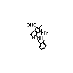 CCCn1c(C)c(C=O)c2ccnc(NCc3ccccc3C)c21